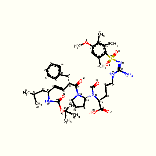 COc1cc(C)c(S(=O)(=O)N=C(N)NCCC[C@@H](C(=O)O)N(C=O)[C@@H]2CCCN2C(=O)[C@H](/C=C/[C@H](CC(C)C)NC(=O)OC(C)(C)C)Cc2ccccc2)c(C)c1C